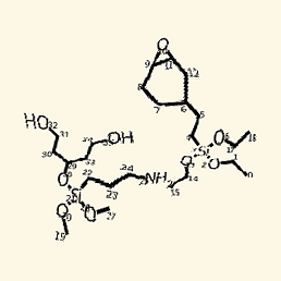 CCO[Si](CCC1CCC2OC2C1)(OCC)OCC.CO[Si](CCCN)(OC)OC(CCO)CCO